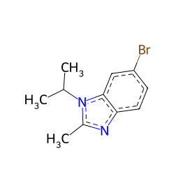 Cc1nc2ccc(Br)cc2n1C(C)C